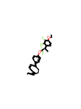 C=CC1CCC(c2ccc(OC(F)(F)C(C)c3ccc(OCC)c(F)c3F)cc2)CC1